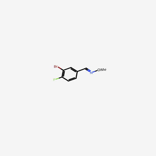 CON=Cc1ccc(F)c(Br)c1